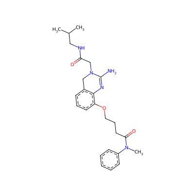 CC(C)CNC(=O)CN1Cc2cccc(OCCCC(=O)N(C)c3ccccc3)c2N=C1N